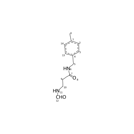 Cc1ccc(CNC(=O)CCNC=O)cc1